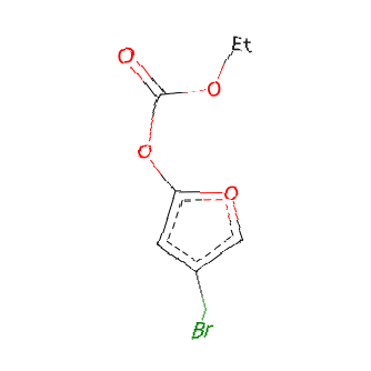 CCOC(=O)Oc1cc(Br)co1